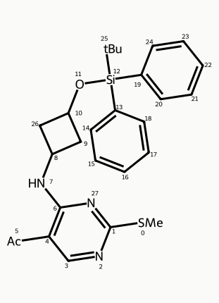 CSc1ncc(C(C)=O)c(NC2CC(O[Si](c3ccccc3)(c3ccccc3)C(C)(C)C)C2)n1